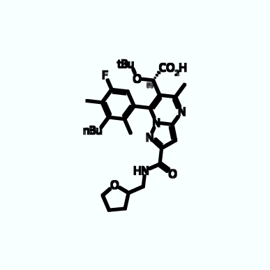 CCCCc1c(C)c(F)cc(-c2c([C@H](OC(C)(C)C)C(=O)O)c(C)nc3cc(C(=O)NCC4CCCO4)nn23)c1C